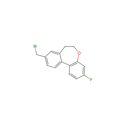 Fc1ccc2c(c1)OCCc1cc(CBr)ccc1-2